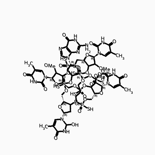 COC1C(OP(=O)(S)OC[C@H]2O[C@@H](n3cc(C)c(=O)[nH]c3=O)C(OC)C2OP(=O)(S)OC[C@H]2O[C@@H](n3cc(C)c(=O)[nH]c3=O)C(OC)C2OP(=O)(S)OCCCO)[C@@H](COP(=O)(S)OC2C[C@H](N3C=C(C)C(=O)NC3O)O[C@@H]2COP(=O)(S)OC2C[C@H](n3cnc4c(=O)[nH]c(N)nc43)O[C@@H]2COP(=O)(S)OC(C)C)O[C@H]1n1cc(C)c(=O)[nH]c1=O